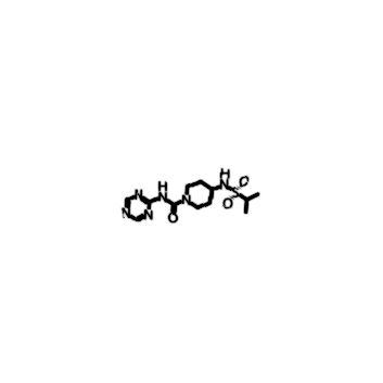 CC(C)S(=O)(=O)NC1CCN(C(=O)Nc2ncncn2)CC1